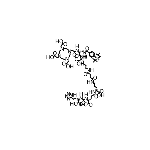 CC(C)(C)[Si](F)(c1ccc(C(=O)NC[C@@H](NC(=O)CN2CCN(CC(=O)O)CCN(CC(=O)O)CCN(CC(=O)O)CC2)C(=O)N[C@H](CCCCNC(=O)CCC(=O)NCCC[C@@H](NC(=O)CC[C@H](NC(=O)N[C@@H](CCc2nnn[nH]2)C(=O)O)C(=O)O)C(=O)O)C(=O)O)cc1)C(C)(C)C